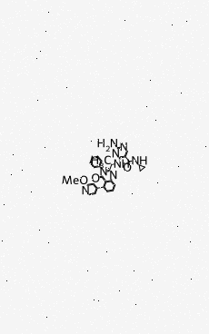 COc1cc(-c2cccc3nc(C(C)Nc4nc(N)ncc4C(=O)NC4CC4)n(-c4ccccc4)c(=O)c23)ccn1